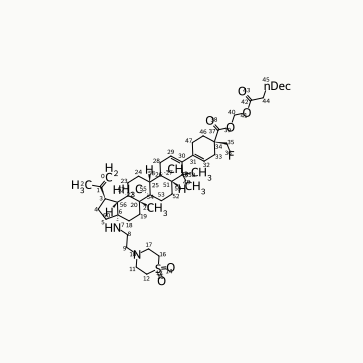 C=C(C)[C@@H]1CC[C@]2(NCCN3CCS(=O)(=O)CC3)CC[C@]3(C)[C@H](CC[C@@H]4[C@@]5(C)CC=C(C6=CC[C@@](CF)(C(=O)OCOC(=O)CCCCCCCCCCC)CC6)C(C)(C)[C@@H]5CC[C@]43C)[C@@H]12